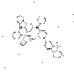 CC1(C)c2ccccc2-c2ccc(-c3ccc(N(c4ccccc4)c4cc5c6c(c4)c4ccccc4n6-c4ccccc4C54c5ccccc5-c5ccccc54)cc3)cc21